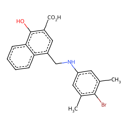 Cc1cc(NCc2cc(C(=O)O)c(O)c3ccccc23)cc(C)c1Br